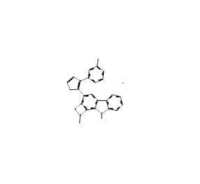 Cc1cccc(C2=C(c3cc4c(c5c3CC5C)[CH]([Hf+2])c3ccccc3-4)CC=C2)c1.[Cl-].[Cl-]